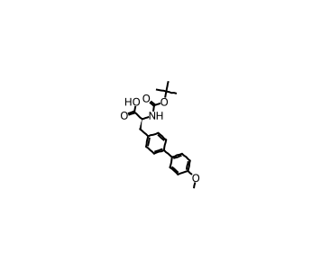 COc1ccc(-c2ccc(C[C@H](NC(=O)OC(C)(C)C)C(=O)O)cc2)cc1